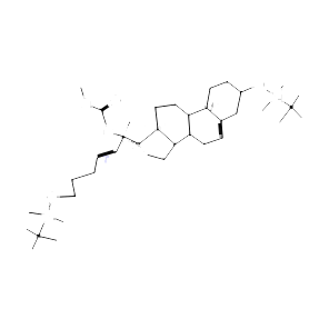 COC(=O)O[C@@](C)(/C=C/CCCO[Si](C)(C)C(C)(C)C)[C@H]1CCC2C3CC=C4CC(O[Si](C)(C)C(C)(C)C)CC[C@]4(C)C3CC[C@@]21C